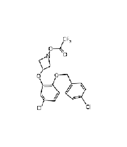 O=C(ON1CC(Oc2cc(Cl)ccc2OCc2ccc(Cl)cc2)C1)C(F)(F)F